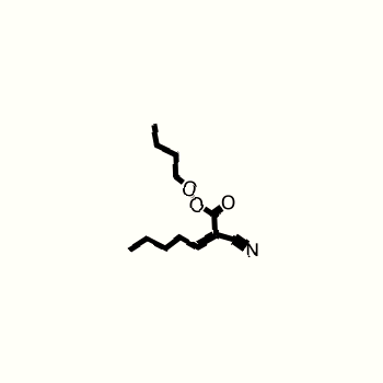 CCCCC=C(C#N)C(=O)OOCCCC